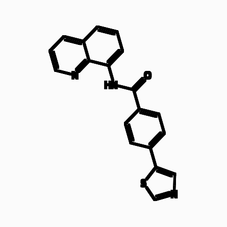 O=C(Nc1cccc2cccnc12)c1ccc(-c2cncs2)cc1